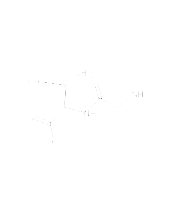 CC(=S)C(NC(=O)CN)C(C)C